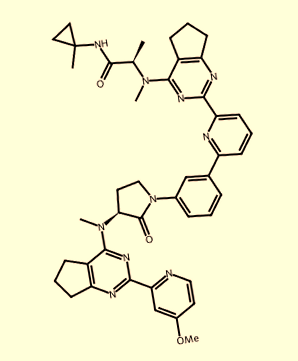 COc1ccnc(-c2nc3c(c(N(C)[C@H]4CCN(c5cccc(-c6cccc(-c7nc8c(c(N(C)[C@H](C)C(=O)NC9(C)CC9)n7)CCC8)n6)c5)C4=O)n2)CCC3)c1